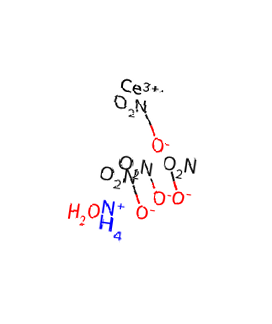 O.O=[N+]([O-])[O-].O=[N+]([O-])[O-].O=[N+]([O-])[O-].O=[N+]([O-])[O-].[Ce+3].[NH4+]